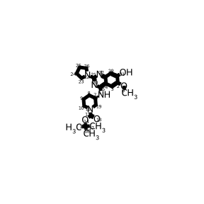 COc1cc2c(N[C@@H]3CCCN(C(=O)OC(C)(C)C)C3)nc(N3CCCC3)nc2cc1O